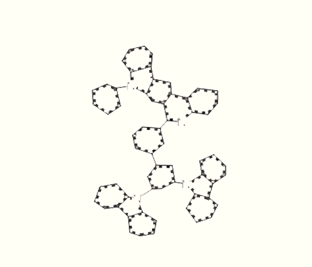 c1ccc(-n2c3ccccc3c3cc4c(cc32)c(-c2cccc(-c3cc(-n5c6ccccc6c6ccccc65)cc(-n5c6ccccc6c6ccccc65)c3)c2)nc2ccccc24)cc1